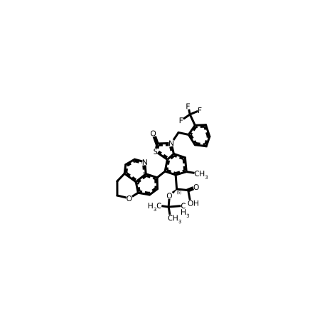 Cc1cc2c(sc(=O)n2Cc2ccccc2C(F)(F)F)c(-c2ccc3c4c(ccnc24)CCO3)c1[C@H](OC(C)(C)C)C(=O)O